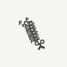 C=C(C)C(=O)OC(F)(F)C(F)(F)C(F)(F)C(F)(F)C(F)(F)C(F)(F)C(C)(F)C(F)(F)F